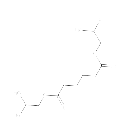 CCC(O)COC(=O)CCCCC(=O)OCC(O)CC